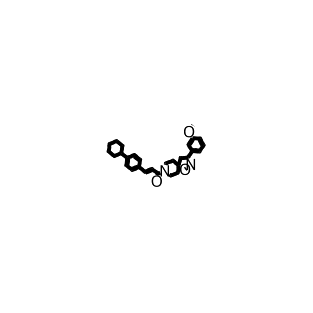 COc1cccc(C2=NOC3(CCN(C(=O)C=Cc4ccc(C5CCCCC5)cc4)CC3)C2)c1